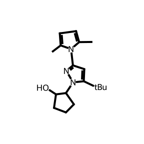 Cc1ccc(C)n1-c1cc(C(C)(C)C)n(C2CCCC2O)n1